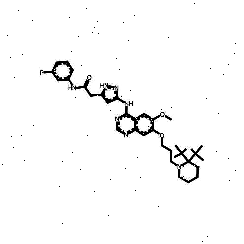 COc1cc2c(Nc3cc(CC(=O)Nc4cccc(F)c4)[nH]n3)ncnc2cc1OCCCN1CCC[CH]C1(C(C)(C)C)C(C)(C)C